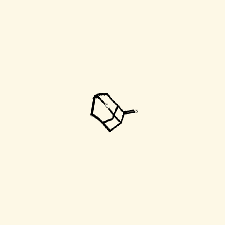 S=C1[C]2CC3CC(C2)CC1C3